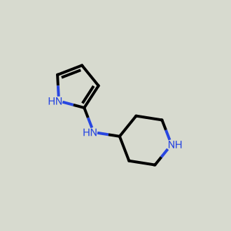 c1c[nH]c(NC2CCNCC2)c1